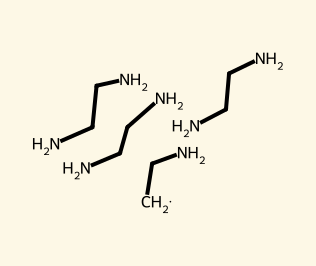 NCCN.NCCN.NCCN.[CH2]CN